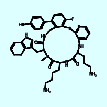 CN1C(=O)C(CCCCN)NC(=O)C(CCCN)Nc2cccnc2Sc2c(F)ccc(-c3ccc(S)cc3)c2CNC(=O)C1Cc1c[nH]c2c1CCC=C2